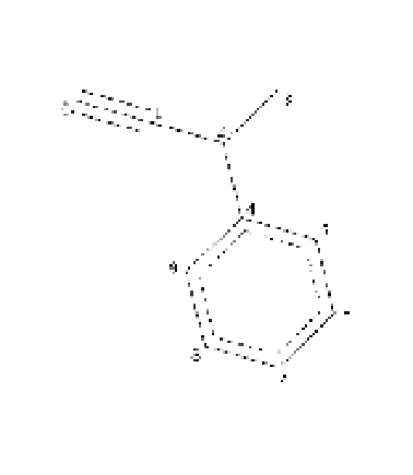 [C]#CC(C)c1ccccc1